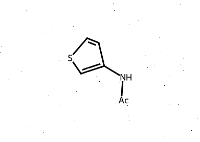 CC(=O)Nc1ccsc1